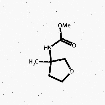 COC(=O)NC1(C)CCOC1